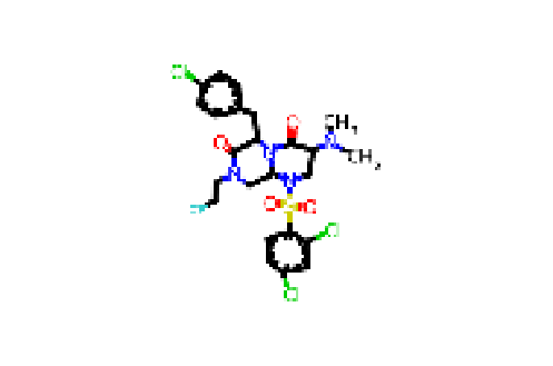 CN(C)C1CN(S(=O)(=O)c2ccc(Cl)cc2Cl)C2CN(CCF)C(=O)C(Cc3ccc(Cl)cc3)N2C1=O